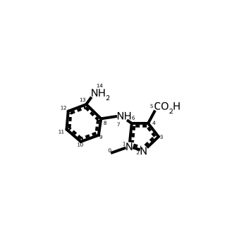 Cn1ncc(C(=O)O)c1Nc1ccccc1N